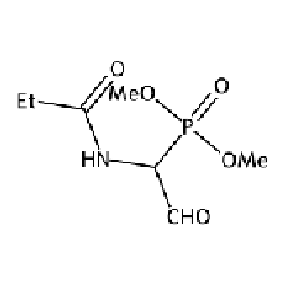 CCC(=O)NC(C=O)P(=O)(OC)OC